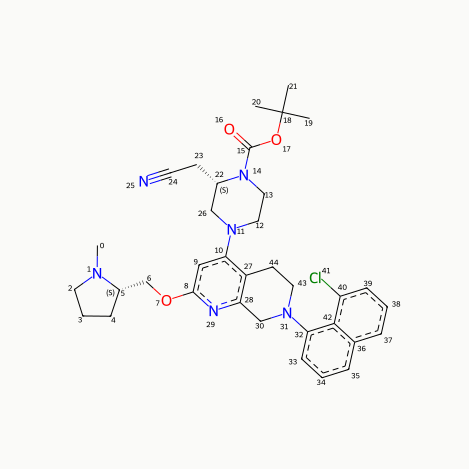 CN1CCC[C@H]1COc1cc(N2CCN(C(=O)OC(C)(C)C)[C@@H](CC#N)C2)c2c(n1)CN(c1cccc3cccc(Cl)c13)CC2